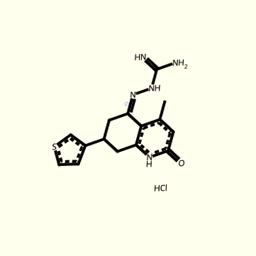 Cc1cc(=O)[nH]c2c1/C(=N\NC(=N)N)CC(c1ccsc1)C2.Cl